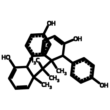 CC1(C(C)(C)C2(C)C=CC=C(O)C2c2ccc(O)cc2)C=CC=C(O)C1c1ccc(O)cc1